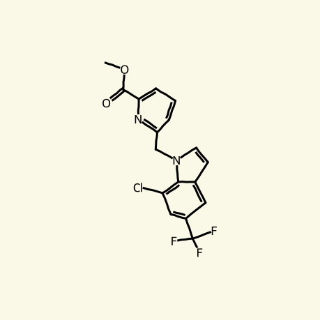 COC(=O)c1cccc(Cn2ccc3cc(C(F)(F)F)cc(Cl)c32)n1